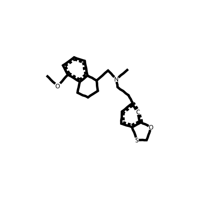 COc1cccc2c1CCCC2CN(C)CCc1ccc2c(c1)OCS2